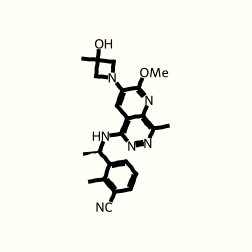 COc1nc2c(C)nnc(N[C@H](C)c3cccc(C#N)c3C)c2cc1N1CC(C)(O)C1